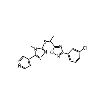 CC(Sc1nnc(-c2ccncc2)n1C)c1nc(-c2cccc(Cl)c2)no1